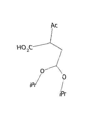 CC(=O)C(CC(OC(C)C)OC(C)C)C(=O)O